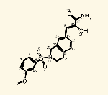 COc1cccc(S(=O)(=O)N2CCc3ccc(C=C(O)C(N)=O)cc3C2)c1